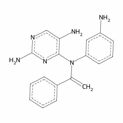 C=C(c1ccccc1)N(c1cccc(N)c1)c1nc(N)ncc1N